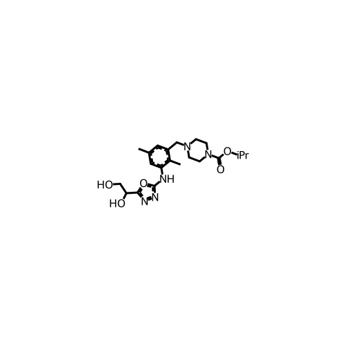 Cc1cc(CN2CCN(C(=O)OC(C)C)CC2)c(C)c(Nc2nnc(C(O)CO)o2)c1